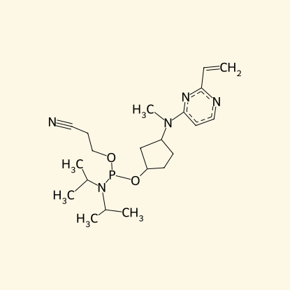 C=Cc1nccc(N(C)C2CCC(OP(OCCC#N)N(C(C)C)C(C)C)C2)n1